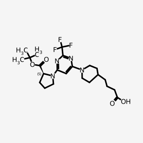 CC(C)(C)OC(=O)[C@@H]1CCCN1c1cc(N2CCC(CCCC(=O)O)CC2)nc(C(F)(F)F)n1